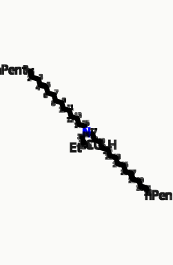 CCCCCC=CCC=CCCCCCCCCCCN(CCCCCCCCCCC=CCC=CCCCCC)CC(CC)C(=O)O